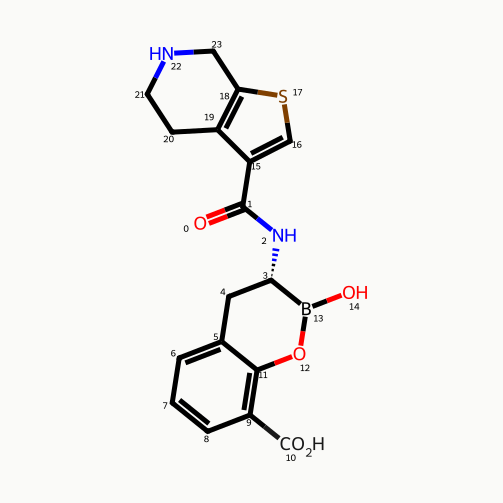 O=C(N[C@H]1Cc2cccc(C(=O)O)c2OB1O)c1csc2c1CCNC2